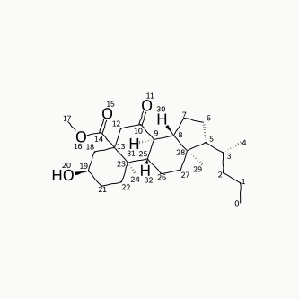 CCC[C@@H](C)[C@H]1CC[C@H]2[C@@H]3C(=O)CC4(C(=O)OC)C[C@H](O)CC[C@]4(C)[C@H]3CC[C@]12C